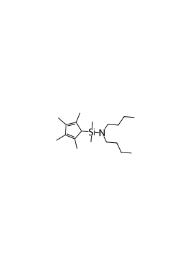 CCCCN(CCCC)[Si](C)(C)C1C(C)=C(C)C(C)=C1C